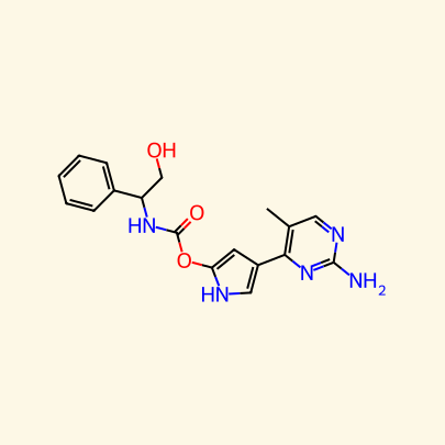 Cc1cnc(N)nc1-c1c[nH]c(OC(=O)NC(CO)c2ccccc2)c1